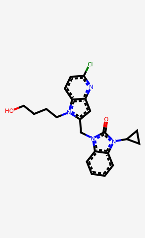 O=c1n(Cc2cc3nc(Cl)ccc3n2CCCCO)c2ccccc2n1C1CC1